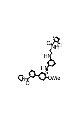 COc1ccc(-c2cccc(C(=O)N3CCCC3)c2)cc1SNc1cccc(NCCNC(=O)c2sccc2Cl)c1